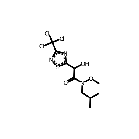 CON(CC(C)C)C(=O)C(O)c1nc(C(Cl)(Cl)Cl)ns1